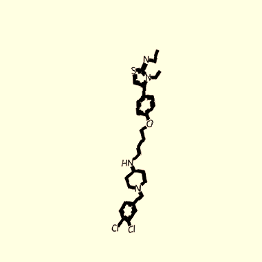 CCN=c1scc(-c2ccc(OCCCCNC3CCN(Cc4ccc(Cl)c(Cl)c4)CC3)cc2)n1CC